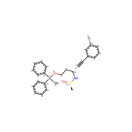 C[S@@+]([O-])N[C@@H](C#Cc1cccc(Br)c1)CCO[Si](c1ccccc1)(c1ccccc1)C(C)(C)C